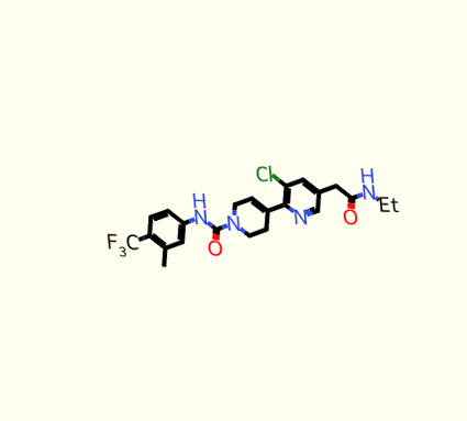 CCNC(=O)Cc1cnc(C2=CCN(C(=O)Nc3ccc(C(F)(F)F)c(C)c3)CC2)c(Cl)c1